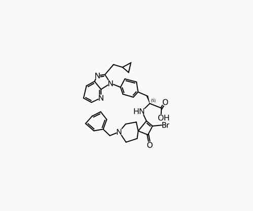 O=C(O)[C@H](Cc1ccc(-n2c(CC3CC3)nc3cccnc32)cc1)NC1=C(Br)C(=O)C12CCN(Cc1ccccc1)CC2